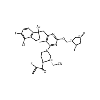 C=C(F)C(=O)N1CCN(c2nc(OC[C@@H]3C[C@@H](F)CN3C)nc(CC3(C(C)=O)CCc4c3ccc(F)c4Cl)c2C)C[C@@H]1CC#N